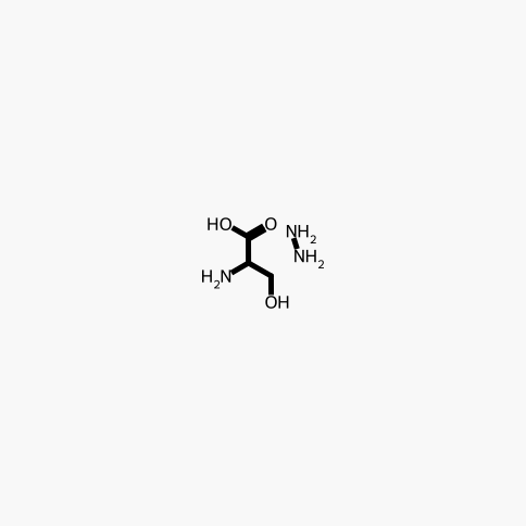 NC(CO)C(=O)O.NN